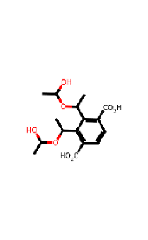 CC(O)OC(C)c1c(C(=O)O)ccc(C(=O)O)c1C(C)OC(C)O